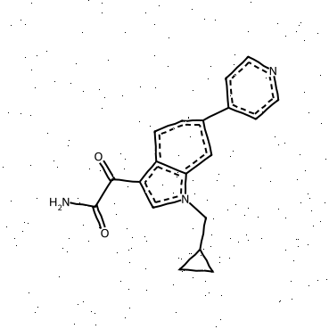 NC(=O)C(=O)c1cn(CC2CC2)c2cc(-c3ccncc3)ccc12